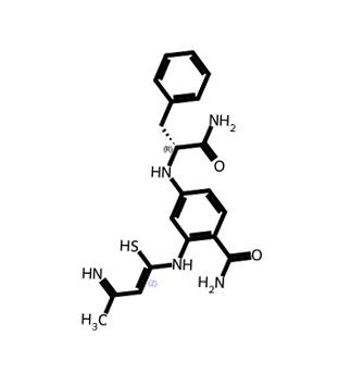 CC(=N)/C=C(\S)Nc1cc(N[C@H](Cc2ccccc2)C(N)=O)ccc1C(N)=O